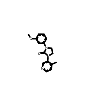 COc1cccc(N2CCN(c3cnccc3C)C2=O)c1